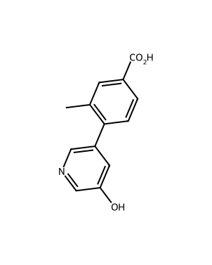 Cc1cc(C(=O)O)ccc1-c1cncc(O)c1